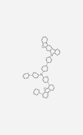 c1ccc(-c2ccc(N(c3ccc(-c4ccc(-n5c6ccccc6c6cc7c(cc65)oc5ccccc57)cc4)cc3)c3ccc(-c4cccc5c4oc4c(-c6ccccc6)cccc45)cc3)cc2)cc1